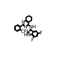 Fc1cc(F)c2[nH]nc(Nc3nc(-c4ccccc4C(F)(F)F)nc4c3CCCC4)c2c1